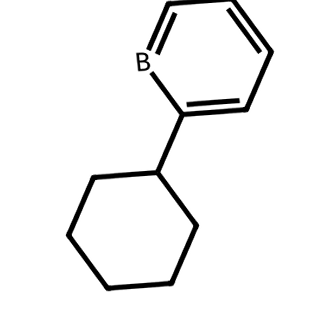 b1ccccc1C1CCCCC1